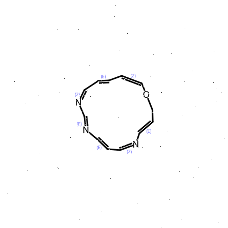 C1=C\OC/C=C/N=C\C=C\N=C\N=C/C=C/1